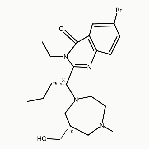 CCC[C@H](c1nc2ccc(Br)cc2c(=O)n1CC)N1CCN(C)C[C@H](CO)C1